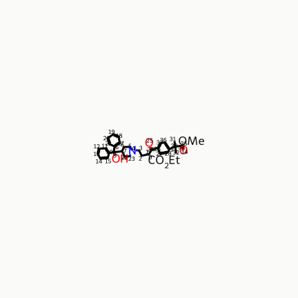 CCOC(=O)C(CCN1CCC(C(O)(c2ccccc2)c2ccccc2)CC1)C(=O)c1ccc(C(C)(C)C(=O)OC)cc1